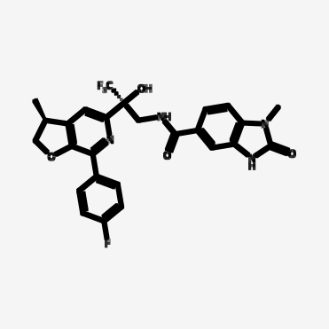 C[C@@H]1COc2c1cc([C@@](O)(CNC(=O)c1ccc3c(c1)[nH]c(=O)n3C)C(F)(F)F)nc2-c1ccc(F)cc1